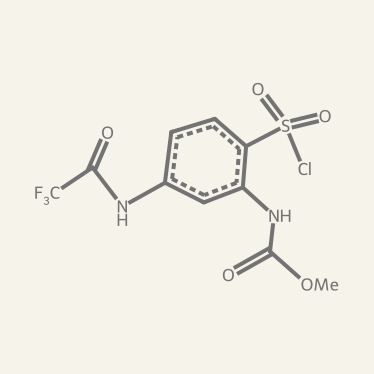 COC(=O)Nc1cc(NC(=O)C(F)(F)F)ccc1S(=O)(=O)Cl